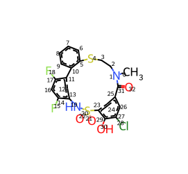 CN1CCSc2ccccc2-c2cc(c(F)cc2F)NS(=O)(=O)c2cc(cc(Cl)c2O)C1=O